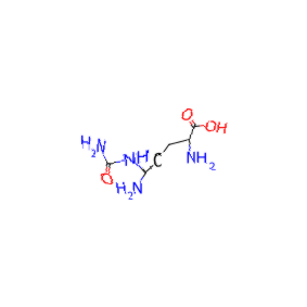 NC(=O)NC(N)CCC(N)C(=O)O